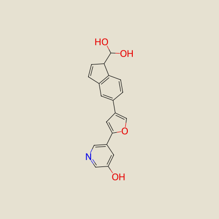 Oc1cncc(-c2cc(-c3ccc4c(c3)C=CC4C(O)O)co2)c1